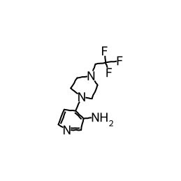 Nc1cnccc1N1CCN(CC(F)(F)F)CC1